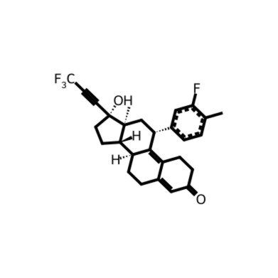 Cc1ccc([C@H]2C[C@@]3(C)[C@@H](CC[C@@]3(O)C#CC(F)(F)F)[C@@H]3CCC4=CC(=O)CCC4=C32)cc1F